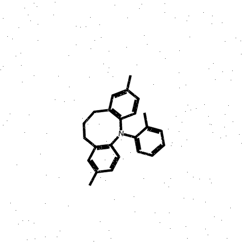 Cc1ccc2c(c1)CCCc1cc(C)ccc1N2c1ccccc1C